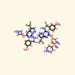 COc1cccc([C@H](C)Nc2nc(OC3CNC3)nc3c(C(C)C)cnn23)c1.COc1cccc([C@H](C)Nc2nc(OCCN(C)S(=O)(=O)C3CCNCC3)nc3c(C(C)C)cnn23)c1